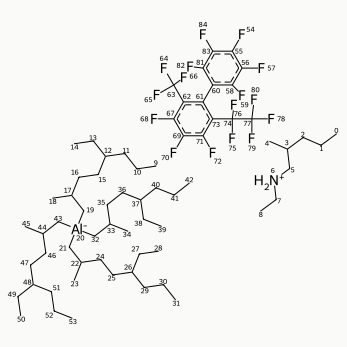 CCCC(C)C[NH2+]CC.CCCC(CC)CCC(C)[CH2][Al-]([CH2]C(C)CCC(CC)CCC)([CH2]C(C)CCC(CC)CCC)[CH2]C(C)CCC(CC)CCC.Fc1c(F)c(F)c(-c2c(C(F)(F)F)c(F)c(F)c(F)c2C(F)(F)C(F)(F)F)c(F)c1F